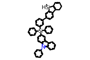 C[SiH]1C2=C(CCC=C2)c2ccc(-c3cccc([Si](c4ccccc4)(c4ccccc4)c4ccc5c(c4)c4ccccc4n5-c4ccccc4)c3)cc21